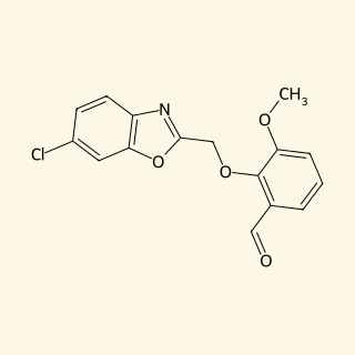 COc1cccc(C=O)c1OCc1nc2ccc(Cl)cc2o1